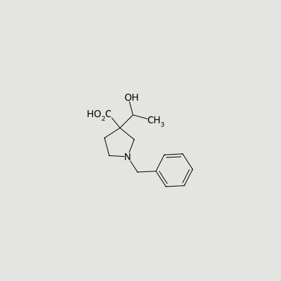 CC(O)C1(C(=O)O)CCN(Cc2ccccc2)C1